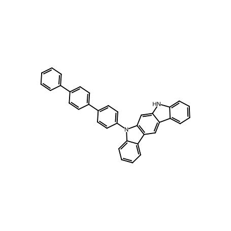 c1ccc(-c2ccc(-c3ccc(-n4c5ccccc5c5cc6c(cc54)[nH]c4ccccc46)cc3)cc2)cc1